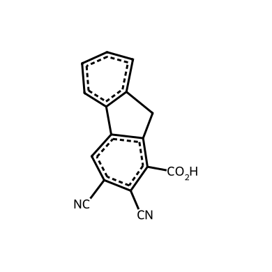 N#Cc1cc2c(c(C(=O)O)c1C#N)Cc1ccccc1-2